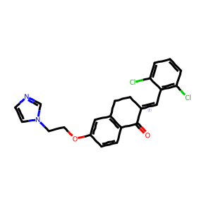 O=C1/C(=C/c2c(Cl)cccc2Cl)CCc2cc(OCCn3ccnc3)ccc21